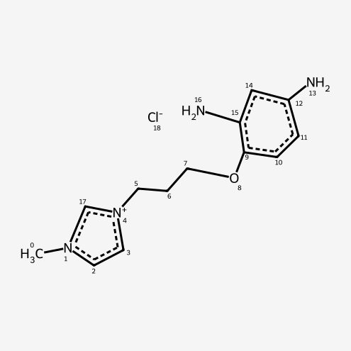 Cn1cc[n+](CCCOc2ccc(N)cc2N)c1.[Cl-]